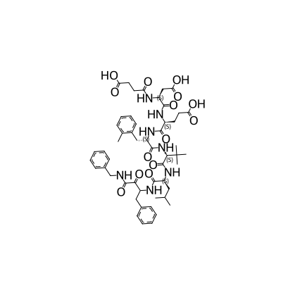 Cc1ccccc1C[C@H](NC(=O)[C@H](CCC(=O)O)NC(=O)[C@H](CC(=O)O)NC(=O)CCC(=O)O)C(=O)N[C@H](C(=O)N[C@@H](CC(C)C)C(=O)NC(Cc1ccccc1)C(=O)C(=O)NCc1ccccc1)C(C)(C)C